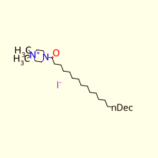 CCCCCCCCCCCCCCCCCCCCCCCC(=O)N1CC[N+](C)(C)CC1.[I-]